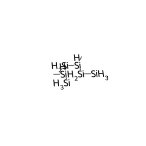 C[SiH]([SiH3])[SiH2][SiH](C)[SiH2][SiH3]